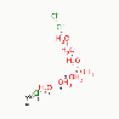 O.O.O.O.O.O.O.[Cl-].[Cl-].[Cl-].[Y+3]